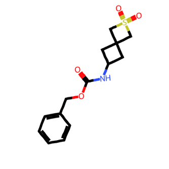 O=C(NC1CC2(C1)CS(=O)(=O)C2)OCc1ccccc1